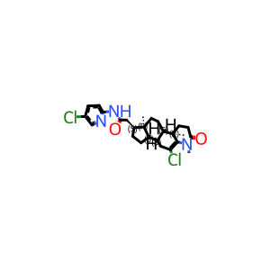 CN1C(=O)CC[C@@]2(C)C1=C(Cl)C[C@H]1[C@@H]3CC[C@@H](CC(=O)Nc4ccc(Cl)cn4)[C@@]3(C)CC[C@@H]12